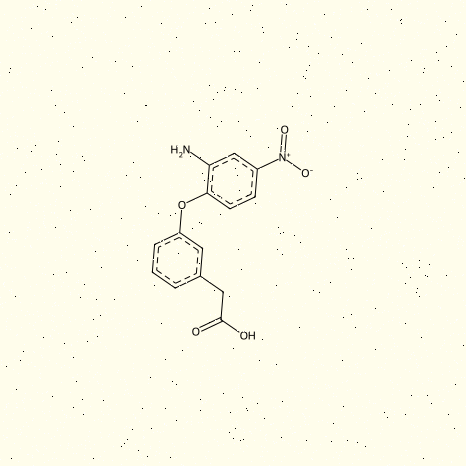 Nc1cc([N+](=O)[O-])ccc1Oc1cccc(CC(=O)O)c1